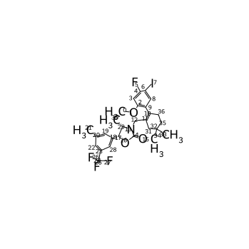 COc1cc(F)c(I)cc1C1=C(CN2C(=O)O[C@H](c3cc(C)cc(C(F)(F)F)c3)[C@@H]2C)CC(C)(C)CC1